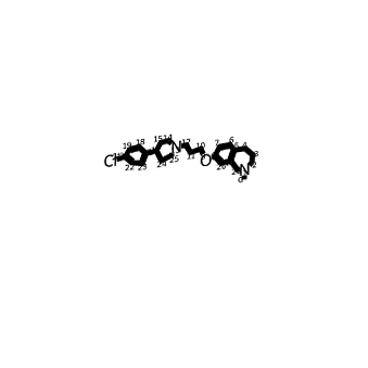 CN1CCCc2ccc(OCCCN3CCC(c4ccc(Cl)cc4)CC3)cc2C1